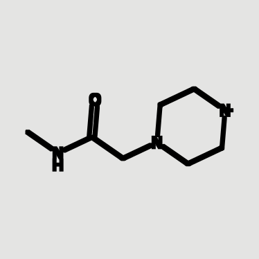 CNC(=O)CN1CC[N]CC1